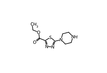 CCOC(=O)c1nnc(N2CCNCC2)s1